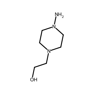 NN1CCN(CCO)CC1